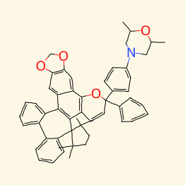 CC1CN(c2ccc(C3(c4ccccc4)C=Cc4c5c(c6cc7c(cc6c4O3)OCO7)-c3ccccc3-c3ccccc3C53C(C)(C)CCC3(C)C)cc2)CC(C)O1